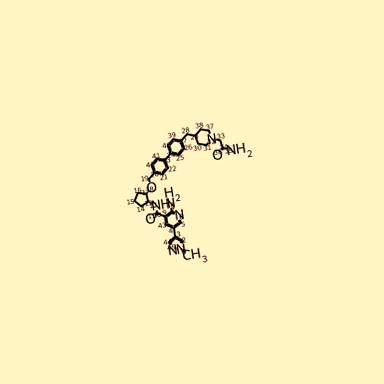 Cn1cc(-c2cnc(N)c(C(=O)N[C@H]3CCC[C@@H]3OCc3ccc(-c4ccc(CC5CCN(CC(N)=O)CC5)cc4)cc3)c2)cn1